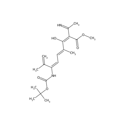 C=C(C)\C(=C/C=C(C)/C(O)=C(/C(C)=N)C(=O)OC)NC(=O)OC(C)(C)C